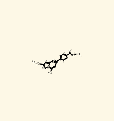 COC(=O)c1ccc(-c2cc(Cl)n3nc(C)cc3n2)cc1